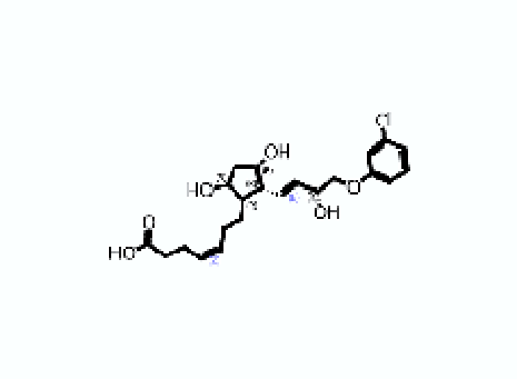 O=C(O)CC/C=C\CC[C@@H]1[C@@H](/C=C/[C@@H](O)COc2cccc(Cl)c2)[C@H](O)C[C@@H]1O